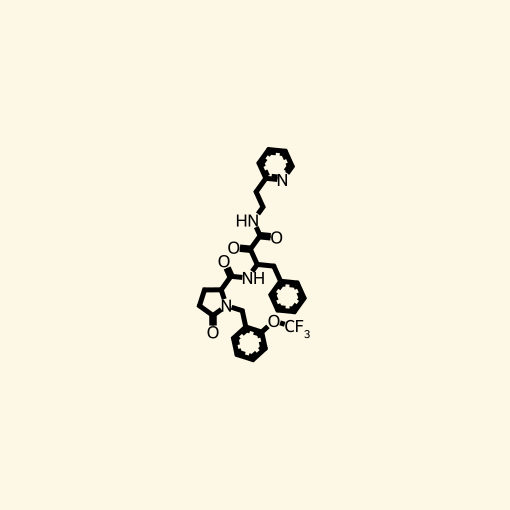 O=C(NCCc1ccccn1)C(=O)C(Cc1ccccc1)NC(=O)C1CCC(=O)N1Cc1ccccc1OC(F)(F)F